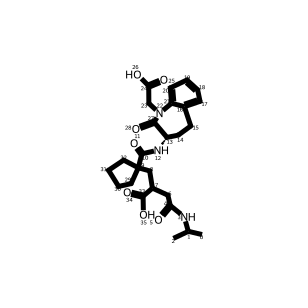 CC(C)NC(=O)CC(CC1(C(=O)N[C@H]2CCc3ccccc3N(CC(=O)O)C2=O)CCCC1)C(=O)O